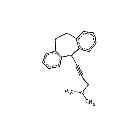 CN(C)CC#CC1c2ccccc2CCc2ccccc21